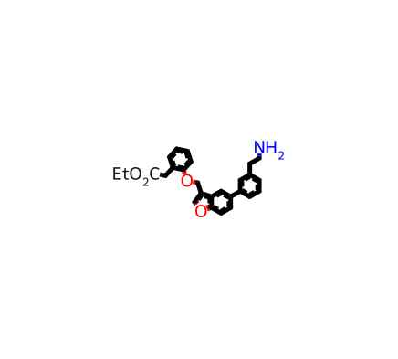 CCOC(=O)Cc1ccccc1OCc1coc2ccc(-c3cccc(CCN)c3)cc12